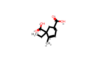 CCC1(C(=O)O)CC(C(=O)O)=CC=C1C